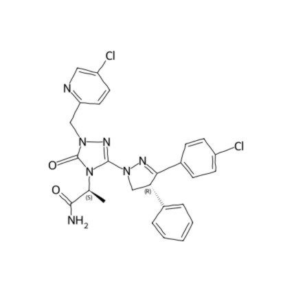 C[C@@H](C(N)=O)n1c(N2C[C@@H](c3ccccc3)C(c3ccc(Cl)cc3)=N2)nn(Cc2ccc(Cl)cn2)c1=O